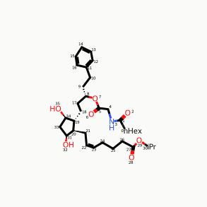 CCCCCCC(=O)NCC(=O)O[C@@H](CCc1ccccc1)CC[C@@H]1[C@@H](C/C=C\CCCC(=O)OC(C)C)[C@@H](O)C[C@H]1O